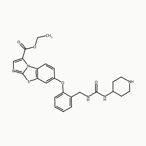 CCOC(=O)c1cnc2sc3cc(Oc4ccccc4CNC(=O)NC4CCNCC4)ccc3n12